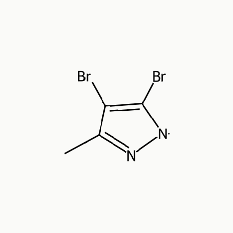 CC1=N[N]C(Br)=C1Br